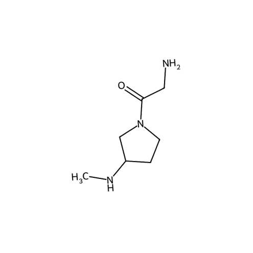 CNC1CCN(C(=O)CN)C1